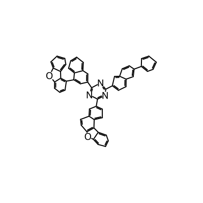 c1ccc(-c2ccc3cc(-c4nc(-c5cc(-c6cccc7oc8ccccc8c67)c6ccccc6c5)nc(-c5ccc6c(ccc7oc8ccccc8c76)c5)n4)ccc3c2)cc1